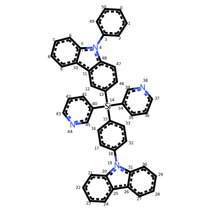 c1ccc(-n2c3ccccc3c3cc([Si](c4ccc(-n5c6ccccc6c6ccccc65)cc4)(c4cccnc4)c4cccnc4)ccc32)cc1